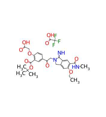 CCOc1cc2c(cc1C(=O)NC)C(=N)N(CC(=O)c1ccc(OCC(=O)O)c(C(=O)OC(C)(C)C)c1)C2.O=C(O)C(F)(F)F